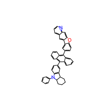 c1ccc(N2c3ccc(-c4c5ccccc5c(-c5ccc6oc7cc8ncccc8cc7c6c5)c5ccccc45)cc3C3CCCCC32)cc1